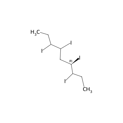 CCC(I)C(I)C[C@@H](I)C(I)CC